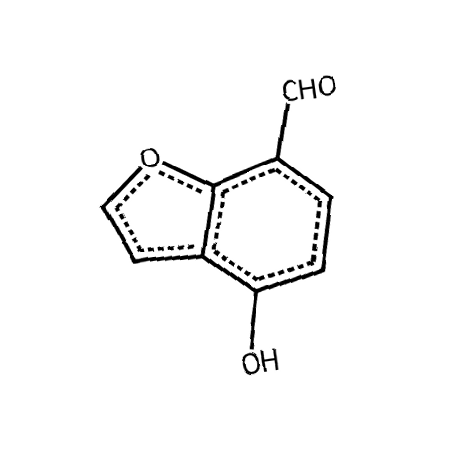 O=Cc1ccc(O)c2ccoc12